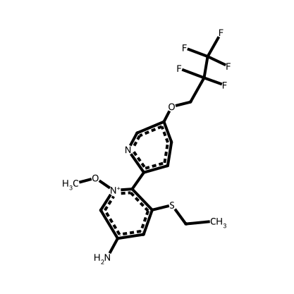 CCSc1cc(N)c[n+](OC)c1-c1ccc(OCC(F)(F)C(F)(F)F)cn1